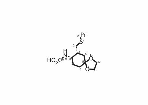 CC(C)SC[C@@H]1CC2(CC[C@@H]1NC(=O)O)OCCO2